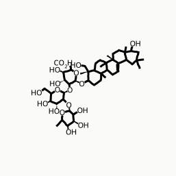 CC1O[C@@H](OC2[C@H](OC3[C@H](OC4CCC5(C)C6CC=C7C8CC(C)(C)CC(O)C8(C)CC[C@@]7(C)C6(C)CCC5[C@@]4(C)CO)OC(C(=O)O)[C@H](O)[C@H]3O)OC(CO)[C@H](O)[C@H]2O)C(O)[C@@H](O)[C@H]1O